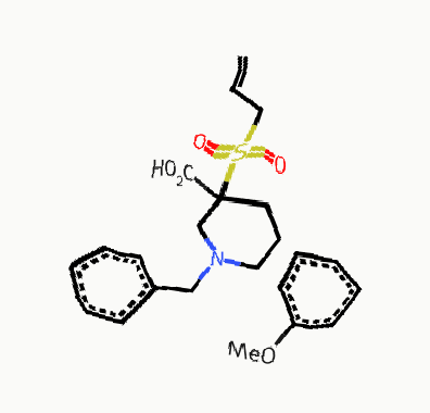 C=CCS(=O)(=O)C1(C(=O)O)CCCN(Cc2ccccc2)C1.COc1ccccc1